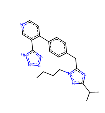 CCCCn1nc(C(C)C)nc1Cc1ccc(-c2ccncc2-c2nnn[nH]2)cc1